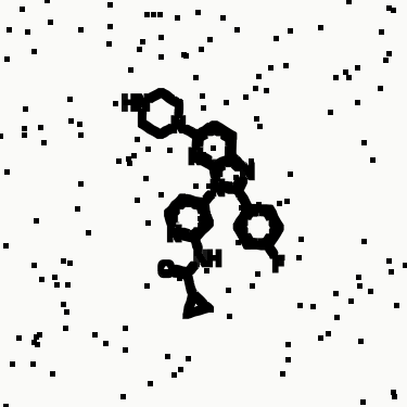 O=C(Nc1cc(-n2c(-c3ccc(F)cc3)nc3ccc(N4CCNCC4)nc32)ccn1)C1CC1